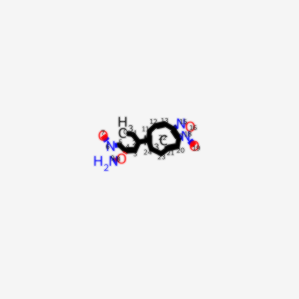 CCC(/C=C(\CN=O)ON)C1CC=C/C(N=O)=C(N=O)\C=C(/C)CC1